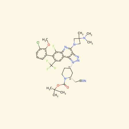 COc1c(Cl)cccc1-c1c(C(F)(F)F)cc2c(nc(N3CC(C)(N(C)C)C3)c3nnn([C@H]4CCN(C(=O)OC(C)(C)C)[C@@H](CC#N)C4)c32)c1F